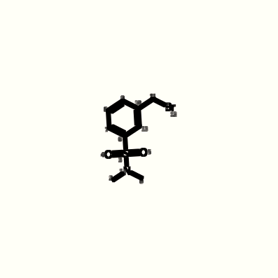 CN(C)S(=O)(=O)c1cccc(CBr)c1